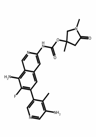 Cc1c(N)cncc1-c1cc2cc(NC(=O)OC3(C)CC(=O)N(C)C3)ncc2c(N)c1F